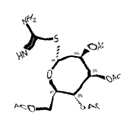 CC(=O)OC[C@H]1O[C@H](SC(=N)N)[C@@H](OC(C)=O)[C@@H](OC(C)=O)[C@@H]1OC(C)=O